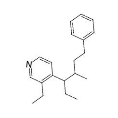 CCc1cnccc1C(CC)C(C)CCc1ccccc1